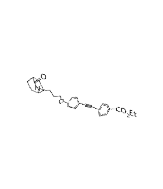 CCOC(=O)c1ccc(C#Cc2ccc(OCCCN3C(=O)C4CCC3CC4)cc2)cc1